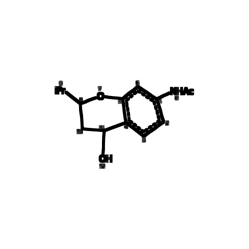 CC(=O)Nc1ccc2c(c1)OC(C(C)C)CC2O